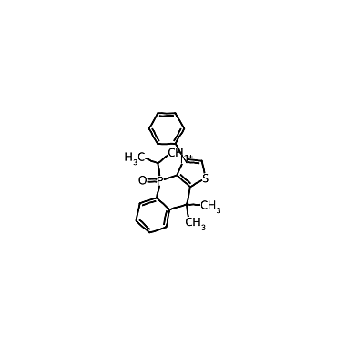 CC(C)P1(=O)c2ccccc2C(C)(C)c2sc[n+](-c3ccccc3)c21